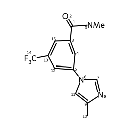 CNC(=O)c1cc(-n2cnc(C)c2)cc(C(F)(F)F)c1